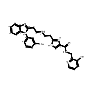 O=C(NCc1ncccc1F)c1coc(CCNCCc2nc3ccccc3n2-c2cccc(Cl)c2)n1